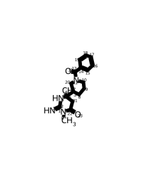 CN1C(=N)NC(C)(C2CCCN(C(=O)c3ccccc3)C2)CC1=O